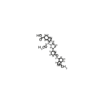 COCCn1c(CN2CCC(c3cccc(OCc4cccc5c4cnn5C)n3)CC2)nc2ccc(C(=O)O)cc21